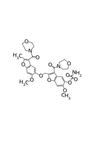 COc1cc2oc(C)c(C(=O)N3CCOCC3)c2cc1OCc1oc2cc(OC)c(OS(N)(=O)=O)cc2c1C(=O)N1CCOCC1